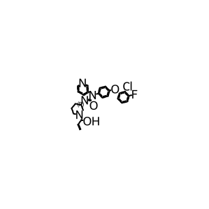 C=CC(O)N1CCC[C@@H](n2c(=O)n(-c3ccc(Oc4cccc(F)c4Cl)cc3)c3cnccc32)C1